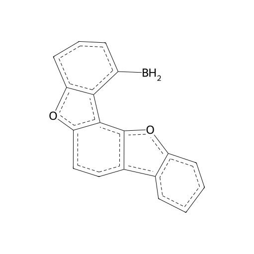 Bc1cccc2oc3ccc4c5ccccc5oc4c3c12